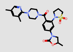 Cc1cnc(N2CCN(C(=O)c3ccc(N4CC(C)OC4=O)cc3N3CCCS3(=O)=O)CC2)c(C)c1